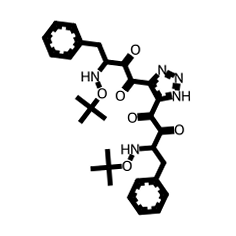 CC(C)(C)ONC(Cc1ccccc1)C(=O)C(=O)c1nn[nH]c1C(=O)C(=O)C(Cc1ccccc1)NOC(C)(C)C